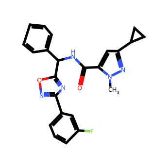 Cn1nc(C2CC2)cc1C(=O)NC(c1ccccc1)c1nc(-c2cccc(F)c2)no1